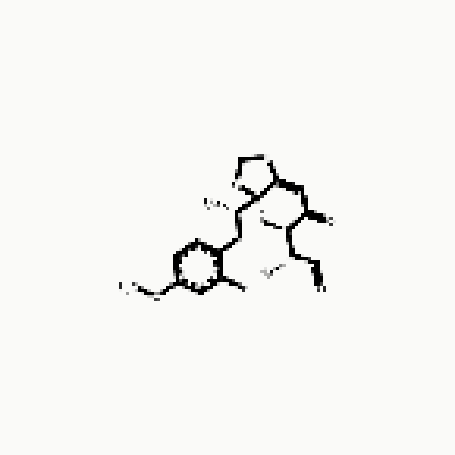 C=C[C@H](C)[C@H]1C[C@]2([C@@H](C)Cc3ccc(OC)cc3F)OCOC2=CC1=O